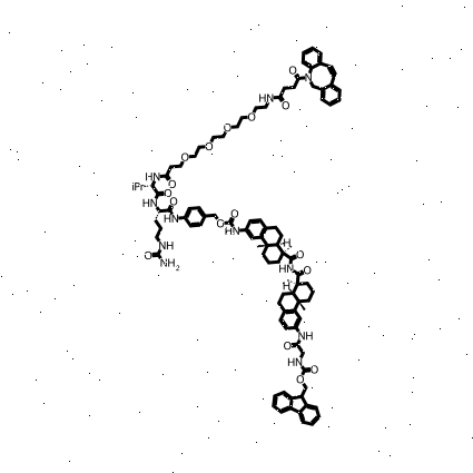 CC(C)[C@H](NC(=O)CCOCCOCCOCCOCCNC(=O)CCC(=O)N1Cc2ccccc2C#Cc2ccccc21)C(=O)N[C@@H](CCCNC(N)=O)C(=O)Nc1ccc(COC(=O)Nc2ccc3c(c2)[C@@]2(C)CCC[C@](C)(C(=O)NC(=O)[C@@]4(C)CCC[C@]5(C)c6cc(NC(=O)CNC(=O)OCC7c8ccccc8-c8ccccc87)ccc6CC[C@@H]45)[C@@H]2CC3)cc1